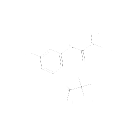 CC(C)(C)C(=O)O.CN(C)C(=O)Nc1cccc(C(F)(F)F)c1